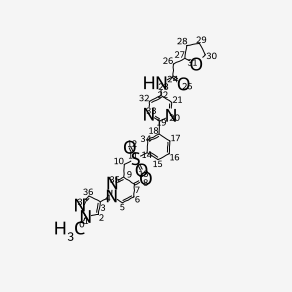 Cn1cc(-n2ccc(=O)c(CS(=O)(=O)c3cccc(-c4ncc(NC(=O)CC5CCCO5)cn4)c3)n2)cn1